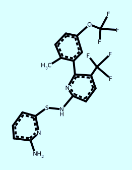 Cc1ccc(OC(F)(F)F)cc1-c1nc(NSc2cccc(N)n2)ccc1C(F)(F)F